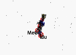 COC(=O)[C@H]1CN(C(=O)OC(C)(C)C)C[C@@H]1c1ccc(Oc2ccnc3c2c(C)cn3COCCS(C)(C)C)cc1